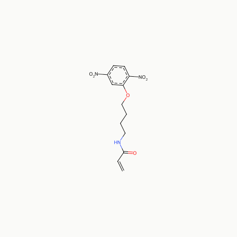 C=CC(=O)NCCCCOc1cc([N+](=O)[O-])ccc1[N+](=O)[O-]